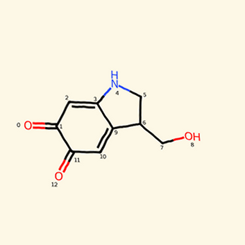 O=C1C=C2NCC(CO)C2=CC1=O